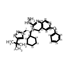 CC(C)(C)c1cn(C[C@@H](C2CCCCC2)N2Cc3cc(Oc4ccccc4)ncc3N=C2NN)nn1